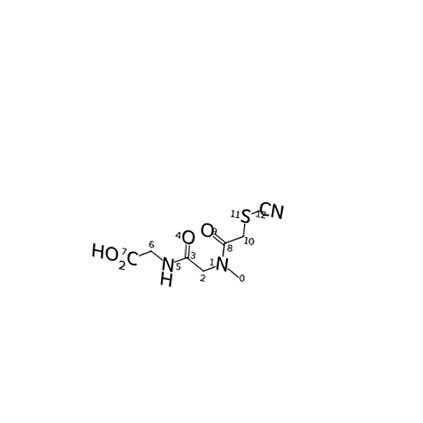 CN(CC(=O)NCC(=O)O)C(=O)CSC#N